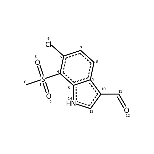 CS(=O)(=O)c1c(Cl)ccc2c(C=O)c[nH]c12